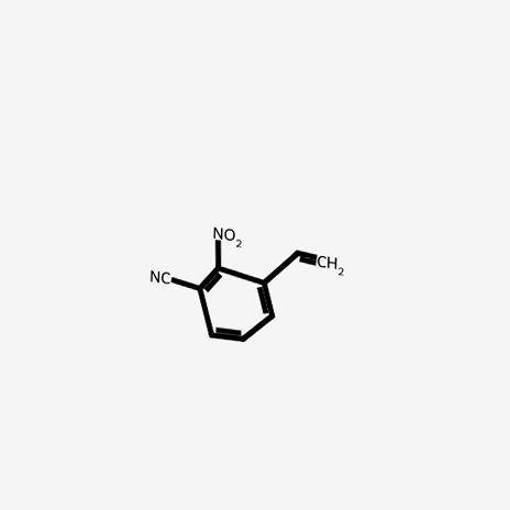 C=Cc1cccc(C#N)c1[N+](=O)[O-]